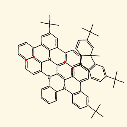 CC(C)(C)C1=CC2(C)c3cc(C(C)(C)C)ccc3N(c3cc4c5c(c3)N(c3c(-c6ccccc6)cc(C(C)(C)C)cc3-c3ccccc3)c3ccccc3B5c3ccccc3N4c3ccc(C(C)(C)C)cc3-c3ccccc3)C2C=C1